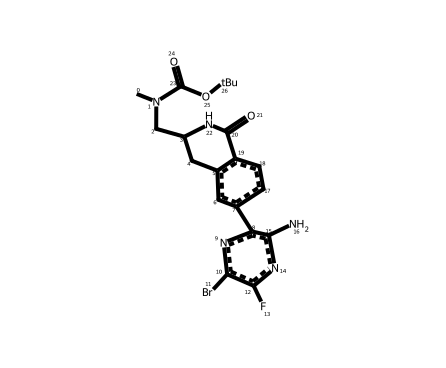 CN(CC1Cc2cc(-c3nc(Br)c(F)nc3N)ccc2C(=O)N1)C(=O)OC(C)(C)C